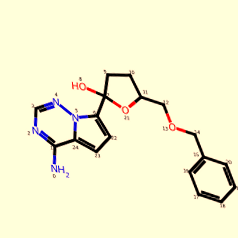 Nc1ncnn2c(C3(O)CCC(COCc4ccccc4)O3)ccc12